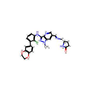 Cn1nc(Nc2cccc(-c3ccc4c(c3)OCCO4)c2Br)c2ncc(C=NC[C@@H]3CCC(=O)N3)cc21